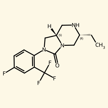 CC[C@@H]1CN2C(=O)N(c3ccc(F)cc3C(F)(F)F)C[C@@H]2CN1